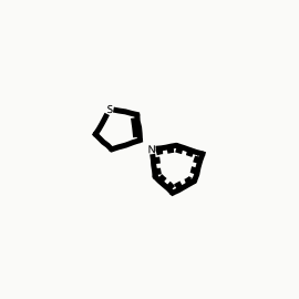 C1=CSCC1.c1ccncc1